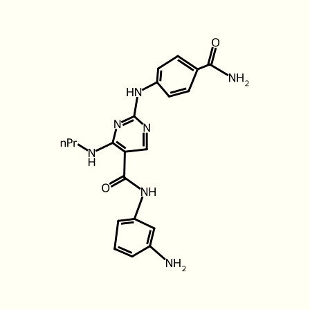 CCCNc1nc(Nc2ccc(C(N)=O)cc2)ncc1C(=O)Nc1cccc(N)c1